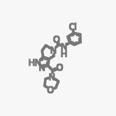 O=C(Nc1cccc(Cl)c1)N1CCc2[nH]nc(C(=O)N3CCOCC3)c2C1